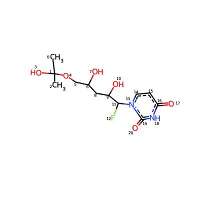 CC(C)(O)OCC(O)CC(O)C(F)n1ccc(=O)[nH]c1=O